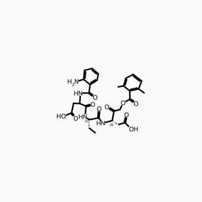 CC[C@H](NC(=O)C(CC(=O)O)NC(=O)c1ccccc1N)C(=O)N[C@@H](CC(=O)O)C(=O)COC(=O)c1c(C)cccc1C